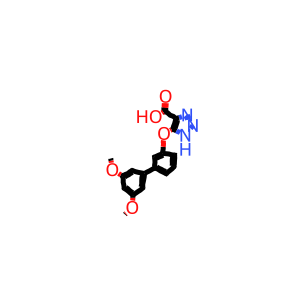 COc1cc(OC)cc(-c2cccc(Oc3[nH]nnc3C(=O)O)c2)c1